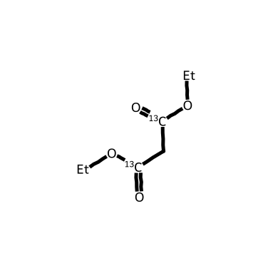 CCO[13C](=O)C[13C](=O)OCC